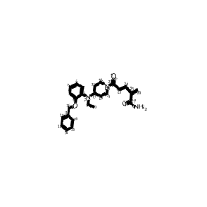 CCN(c1ccccc1OCc1ccccc1)C1CCN(C(=O)[CH]CC(C)C(N)=O)CC1